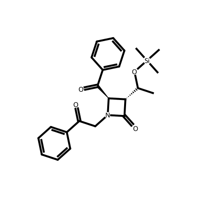 CC(O[Si](C)(C)C)[C@@H]1C(=O)N(CC(=O)c2ccccc2)[C@H]1C(=O)c1ccccc1